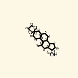 CC1=C2C3=C(CCC2C2CC[C@H](O)[C@@]2(C)C1)CC1(CC3)OCCO1